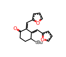 CC(C)(C)C1CCC(=O)C(=Cc2ccco2)C1=Cc1ccco1